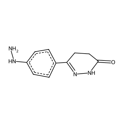 NNc1ccc(C2=NNC(=O)CC2)cc1